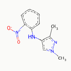 Cc1nn(C)cc1Nc1ccccc1[N+](=O)[O-]